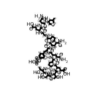 CC(C)CC(C=O)NC(=O)C(CC(N)=O)NC(=O)C(CCC(=O)O)NC(=O)CNC(=O)C1CCCN1C(=O)C(CCC(N)=O)NC(=O)C(Cc1ccc(OP(=O)(O)O)cc1)NC(=O)C(CCC(N)=O)NC(=O)C1CCCN1C(=O)C(CCC(=O)O)NC(=O)C(NC(=O)C(CO)NC(=O)C(N)C(C)O)C(C)O